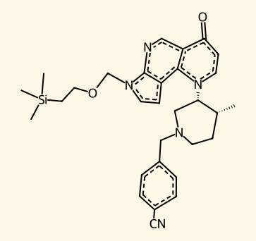 C[C@@H]1CCN(Cc2ccc(C#N)cc2)C[C@@H]1n1ccc(=O)c2cnc3c(ccn3COCC[Si](C)(C)C)c21